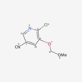 [C-]#[N+]c1cnc(Cl)c(OCOC)c1